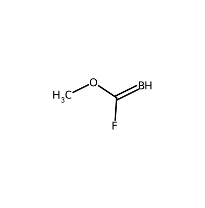 B=C(F)OC